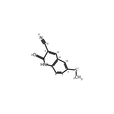 CSc1ccc2[nH]c(=O)c(C#N)cc2c1